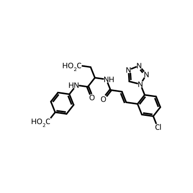 O=C(O)CC(NC(=O)C=Cc1cc(Cl)ccc1-n1cnnn1)C(=O)Nc1ccc(C(=O)O)cc1